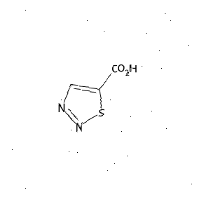 O=C(O)c1cnns1